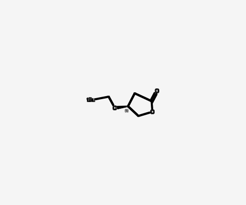 CC(C)(C)CO[C@@H]1COC(=O)C1